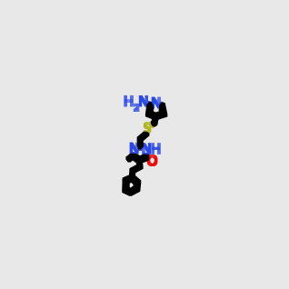 Cc1nc(CCSCc2ccnc(N)c2)[nH]c(=O)c1CCc1ccccc1